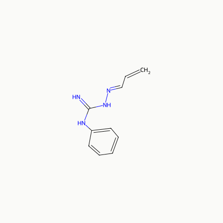 C=CC=NNC(=N)Nc1ccccc1